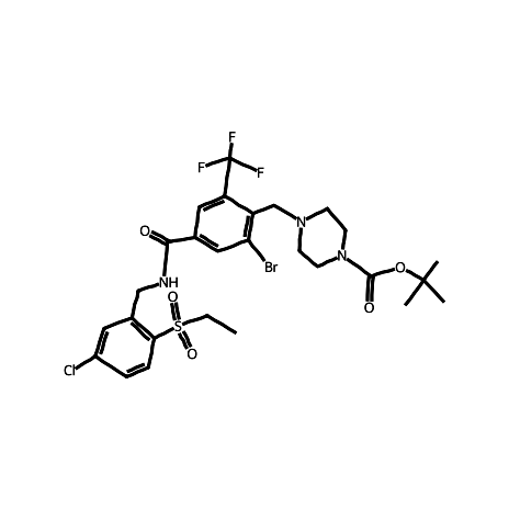 CCS(=O)(=O)c1ccc(Cl)cc1CNC(=O)c1cc(Br)c(CN2CCN(C(=O)OC(C)(C)C)CC2)c(C(F)(F)F)c1